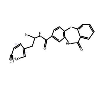 C#C/C=C\C(=C/C)CC(CC)NC(=O)c1ccc2c(c1)NC(=O)c1ccccc1S2